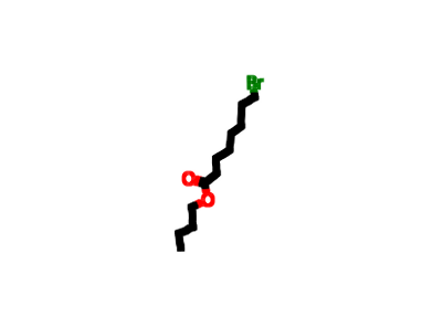 CCCCOC(=O)CCCCCCCBr